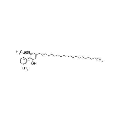 C=C(C)[C@@H]1CCC(C)=C[C@@H]1c1c(O)cc(CCCCCCCCCCCCCCCCCCCC)cc1O